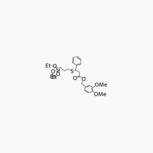 CCO[Si](CCCSC(CC(=O)OCc1ccc(OC)c(OC)c1)c1ccccc1)(OCC)OCC